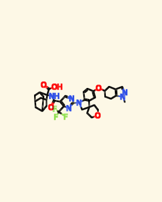 Cn1ncc2c1CCC(Oc1ccc3c(c1)C1(CCOCC1)CN3c1ncc(C(=O)NC3(C(=O)O)C4CC5CC(C4)CC3C5)c(C(F)(F)F)n1)C2